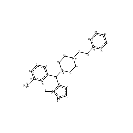 Cn1nccc1C(c1cccc(C(F)(F)F)n1)N1CCN(CCc2ccccc2)CC1